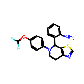 Nc1ccccc1C1c2scnc2CCN1c1ccc(OC(F)F)cc1